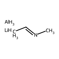 CC=NC.[AlH3].[LiH]